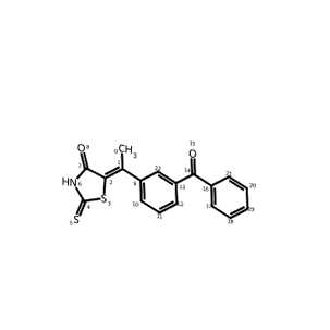 CC(=C1SC(=S)NC1=O)c1cccc(C(=O)c2ccccc2)c1